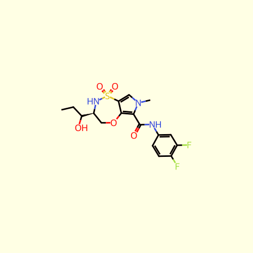 CCC(O)[C@@H]1COc2c(cn(C)c2C(=O)Nc2ccc(F)c(F)c2)S(=O)(=O)N1